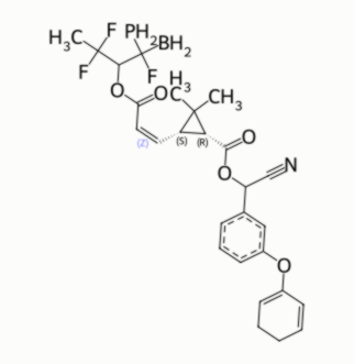 BC(F)(P)C(OC(=O)/C=C\[C@H]1[C@@H](C(=O)OC(C#N)c2cccc(OC3=CCCC=C3)c2)C1(C)C)C(C)(F)F